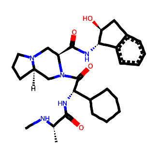 CN[C@@H](C)C(=O)N[C@H](C(=O)N1C[C@H]2CCCN2C[C@H]1C(=O)N[C@H]1c2ccccc2C[C@@H]1O)C1CCCCC1